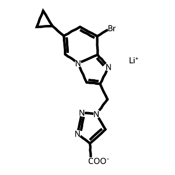 O=C([O-])c1cn(Cc2cn3cc(C4CC4)cc(Br)c3n2)nn1.[Li+]